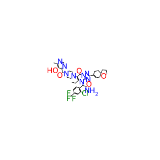 CCc1c(N2CCN(C(=O)c3ncnc(C)c3O)CC2)c(=O)n2nc(C3=CCC4(CCCO4)CC3)nc2n1C(C(N)=O)c1ccc(C(F)(F)F)cc1Cl